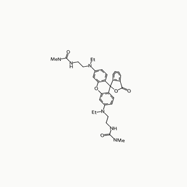 CCN(CCNC(=O)NC)c1ccc2c(c1)Oc1cc(N(CC)CCNC(=O)NC)ccc1C21OC(=O)c2ccccc21